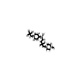 CN1CCN(CC(C)(C)CCN(C)C2CCN(CC(C)(C)C)CC2)CC1